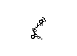 Cn1cc(-c2nnc(SCC(=O)Nc3ccc4c(c3)OCO4)o2)c2ccccc21